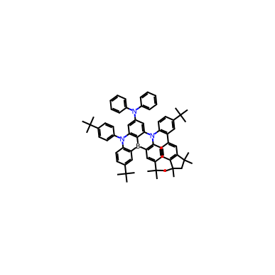 CC(C)(C)c1ccc(N2c3ccc(C(C)(C)C)cc3B3c4cc(C(C)(C)C)ccc4N(c4ccc(C(C)(C)C)cc4-c4ccc5c(c4)C(C)(C)CC5(C)C)c4cc(N(c5ccccc5)c5ccccc5)cc2c43)cc1